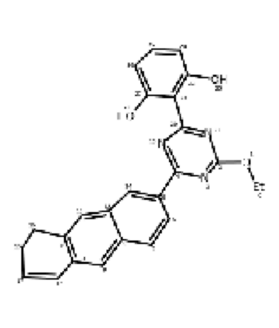 CCOc1nc(-c2ccc3cc4c(cc3c2)CCC=C4)nc(-c2c(O)cccc2O)n1